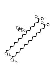 CCCCCCCCCCCCCCCCCC(=O)[O-].CCCCCCCCCCCCCCCCCC(=O)[O-].[BaH2].[Ca+2]